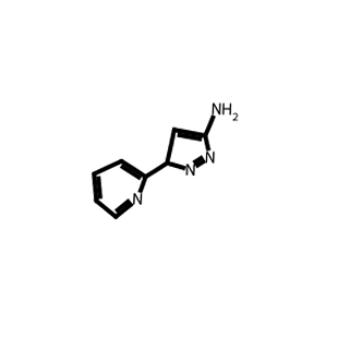 NC1=CC(c2ccccn2)N=N1